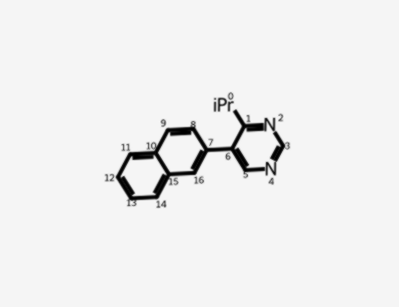 CC(C)c1ncncc1-c1ccc2ccccc2c1